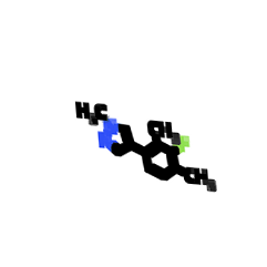 Cc1ccc(-c2cnn(C)c2)c(C)c1F